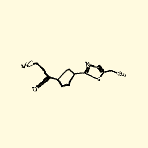 CC(C)(C)c1cnc(C2CCC(C(=O)CC#N)C2)s1